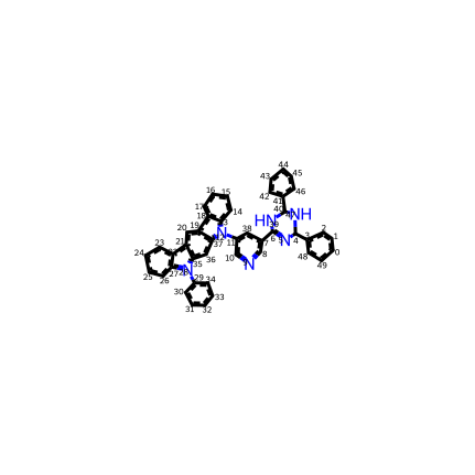 c1ccc(C2N=C(c3cncc(-n4c5ccccc5c5cc6c7ccccc7n(-c7ccccc7)c6cc54)c3)NC(c3ccccc3)N2)cc1